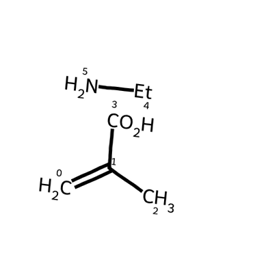 C=C(C)C(=O)O.CCN